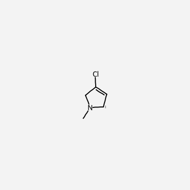 CN1[C]C=C(Cl)C1